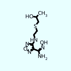 CC(O)CSCCNc1nonc1/C(N)=N\O